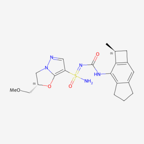 COC[C@@H]1Cn2ncc(S(N)(=O)=NC(=O)Nc3c4c(cc5c3[C@@H](C)C5)CCC4)c2O1